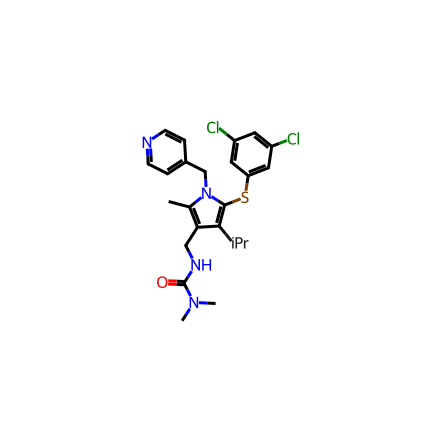 Cc1c(CNC(=O)N(C)C)c(C(C)C)c(Sc2cc(Cl)cc(Cl)c2)n1Cc1ccncc1